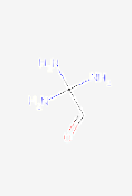 NC(N)(N)C=O